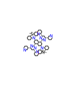 C[Si]1(C)c2ccccc2N(c2cc(-c3nc(-c4cccnc4)cc(-c4ccccn4)n3)c3cc(N4c5ccccc5[Si](C)(C)c5ccccc54)cc(-c4nc(-c5cccnc5)cc(-c5ccccn5)n4)c3c2)c2ccccc21